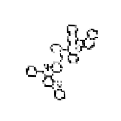 c1ccc(-c2nc3cc(-c4c5ccccc5c(-c5cc6ccccc6c6c5oc5ccc7ccccc7c56)c5ccccc45)ccc3c3c2ccc2c4ccccc4oc23)cc1